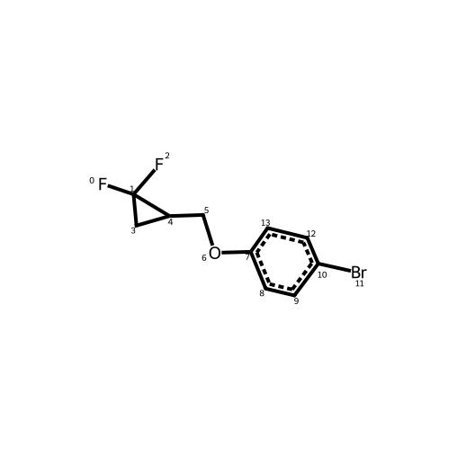 FC1(F)CC1COc1ccc(Br)cc1